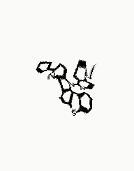 c1ccc(-c2ccc3c(n2)c2ccc4sc5ccccc5c4c2n3-c2nccc3ncccc23)cc1